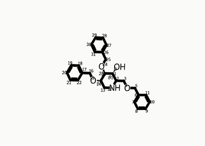 O[C@@H]1C(COCc2ccccc2)NC[C@H](OCc2ccccc2)[C@H]1OCc1ccccc1